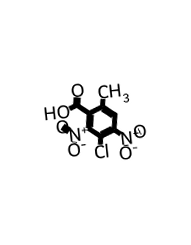 Cc1cc([N+](=O)[O-])c(Cl)c([N+](=O)[O-])c1C(=O)O